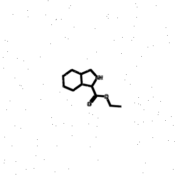 CCOC(=O)C1NCC2CCCCC21